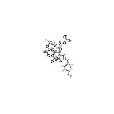 CCc1ccc(Cc2cn(C3O[C@H](COC(C)=O)[C@@H](OC(C)=O)[C@H](OC(C)=O)[C@H]3OC(C)=O)nn2)cc1